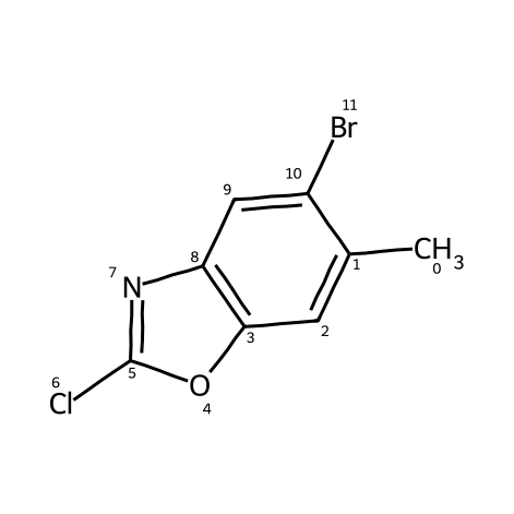 Cc1cc2oc(Cl)nc2cc1Br